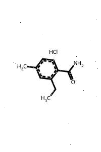 CCc1cc(C)ccc1C(N)=O.Cl